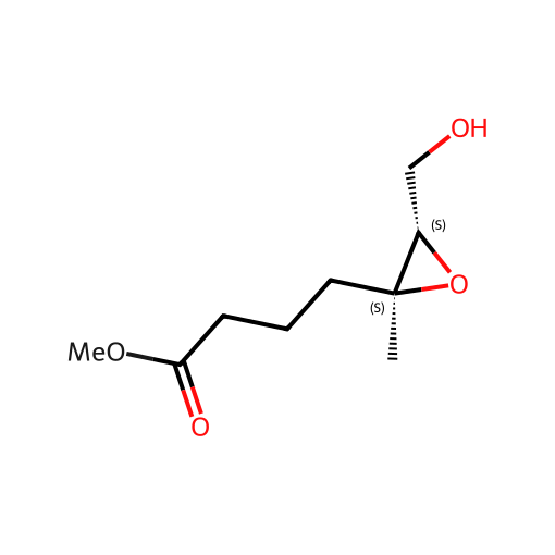 COC(=O)CCC[C@]1(C)O[C@H]1CO